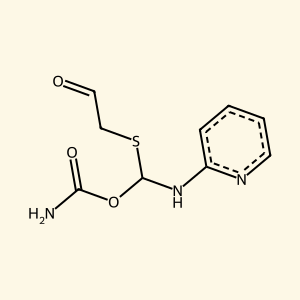 NC(=O)OC(Nc1ccccn1)SCC=O